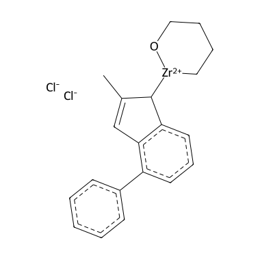 CC1=Cc2c(-c3ccccc3)cccc2[CH]1[Zr+2]1[CH2]CCC[O]1.[Cl-].[Cl-]